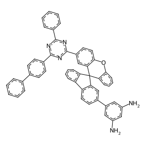 Nc1cc(N)cc(-c2ccc3c(c2)C2(c4ccccc4Oc4ccc(-c5nc(-c6ccccc6)nc(-c6ccc(-c7ccccc7)cc6)n5)cc42)c2ccccc2-3)c1